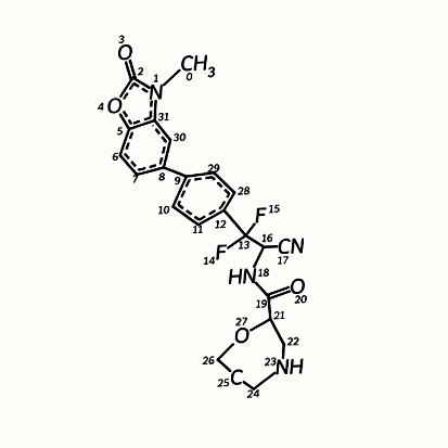 Cn1c(=O)oc2ccc(-c3ccc(C(F)(F)C(C#N)NC(=O)C4CNCCCO4)cc3)cc21